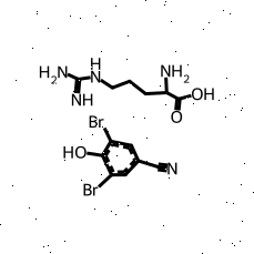 N#Cc1cc(Br)c(O)c(Br)c1.N=C(N)NCCCC(N)C(=O)O